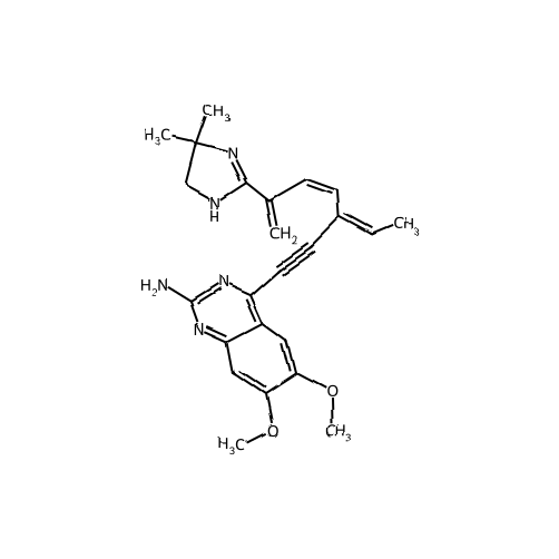 C=C(/C=C\C(C#Cc1nc(N)nc2cc(OC)c(OC)cc12)=C/C)C1=NC(C)(C)CN1